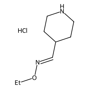 CCON=CC1CCNCC1.Cl